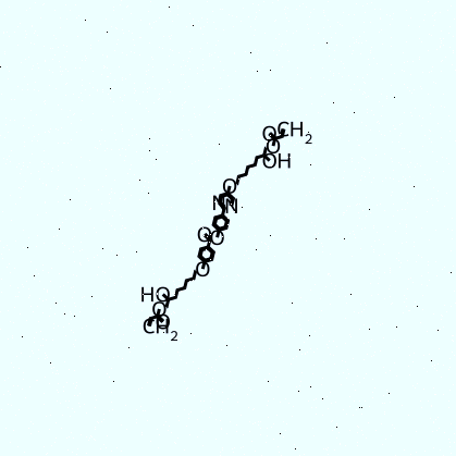 C=CC(=O)OCC(O)CCCCCCOc1ccc(C(=O)Oc2ccc(-c3ncc(OCCCCCCC(O)COC(=O)C=C)cn3)cc2)cc1